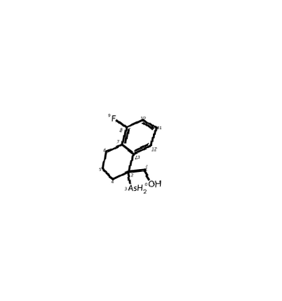 OCC1([AsH2])CCCc2c(F)cccc21